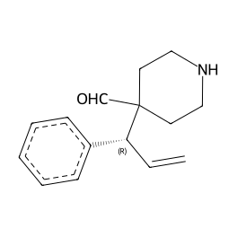 C=C[C@H](c1ccccc1)C1(C=O)CCNCC1